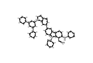 N=Cc1c(Nc2ccccc2)ccc2c3cc(-c4ccc5ccn(-c6cc(-c7ccccc7)cc(-c7ccccc7)c6)c5c4)ccc3n(-c3ccccc3)c12